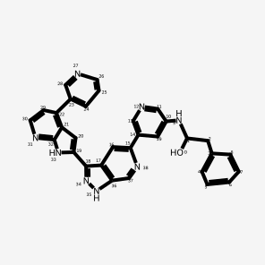 OC(Cc1ccccc1)Nc1cncc(-c2cc3c(-c4cc5c(-c6cccnc6)ccnc5[nH]4)n[nH]c3cn2)c1